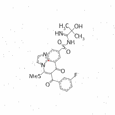 CS/C(=C(\C(=O)c1cccc(F)c1)C(=O)c1cccc(S(=O)(=O)NC(=N)C(C)(C)O)c1)n1ccnc1